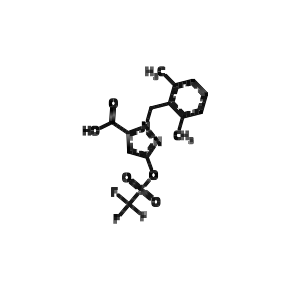 Cc1cccc(C)c1Cn1nc(OS(=O)(=O)C(F)(F)F)cc1C(=O)O